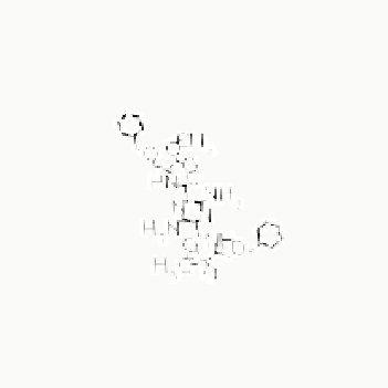 COC(=O)C(COCc1ccccc1)NC(=O)c1nc(N)c(C(=O)N[C@@H](COCc2ccccc2)C(=O)OC)nc1N